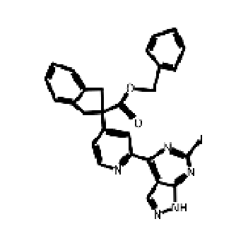 O=C(OCc1ccccc1)C1(c2ccnc(-c3nc(I)nc4[nH]ncc34)c2)Cc2ccccc2C1